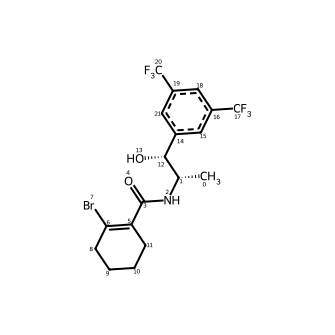 C[C@H](NC(=O)C1=C(Br)CCCC1)[C@H](O)c1cc(C(F)(F)F)cc(C(F)(F)F)c1